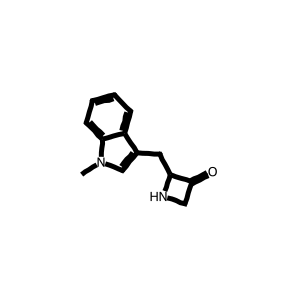 Cn1cc(CC2NCC2=O)c2ccccc21